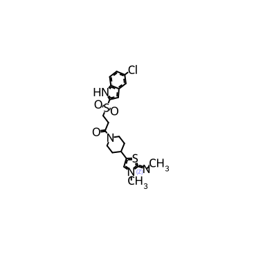 C/N=c1\sc(C2CCN(C(=O)CCS(=O)(=O)c3cc4cc(Cl)ccc4[nH]3)CC2)cn1C